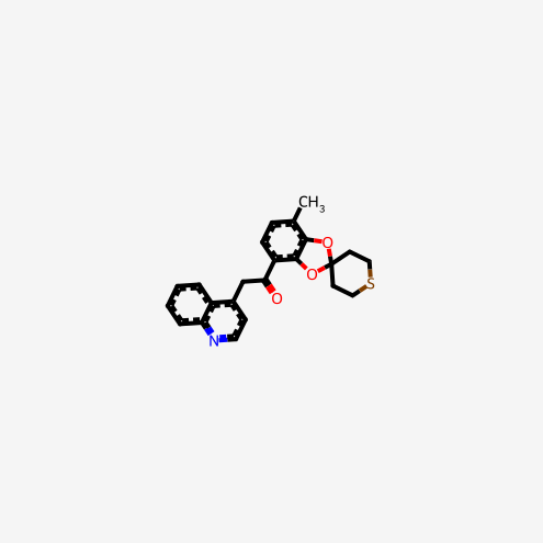 Cc1ccc(C(=O)Cc2ccnc3ccccc23)c2c1OC1(CCSCC1)O2